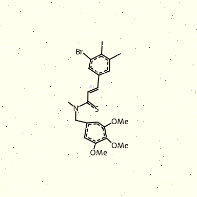 COc1cc(CN(C)C(=S)/C=C/c2cc(C)c(C)c(Br)c2)cc(OC)c1OC